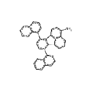 Bc1ccc2c3c(cccc13)-c1c(-c3cccc4ccccc34)ccc(-c3cccc4ccccc34)c1-2